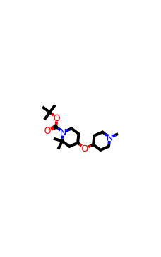 CN1CCC(OC2CCN(C(=O)OC(C)(C)C)C(C)(C)C2)CC1